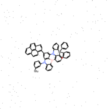 CC(C)(C)c1cccc(N2c3ccccc3B3c4cccc5c4N(c4ccccc4[Si]5(c4ccccc4)c4ccccc4)c4cc(-c5ccc6ccc7cccc8ccc5c6c78)cc2c43)c1